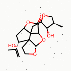 C=C(C)[C@@H]1CC2OC(=O)C3OC4OC[C@H](O)C41C23CC1OC[C@@H](C)[C@H]1O